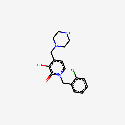 O=c1c(O)c(CN2CCNCC2)ccn1Cc1ccccc1Cl